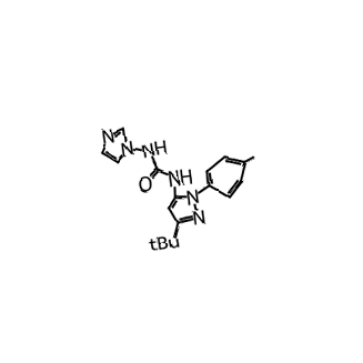 Cc1ccc(-n2nc(C(C)(C)C)cc2NC(=O)Nn2ccnc2)cc1